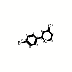 O=C1CCOC(c2ccc(Br)cc2)C1